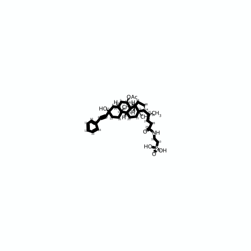 CC(=O)O[C@@H]1C[C@@H]2C[C@@](O)(C#Cc3ccccc3)CC[C@]2(C)[C@H]2CC[C@]3(C)[C@@H]([C@H](C)CCC(=O)NCCP(=O)(O)O)CC[C@H]3[C@H]12